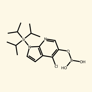 CC(C)[Si](C(C)C)(C(C)C)n1ccc2c(Cl)c(OB(O)O)cnc21